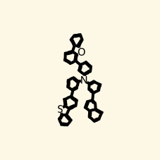 c1cc(-c2ccc3ccccc3c2)cc(N(c2cccc(-c3ccc4c(c3)sc3ccccc34)c2)c2cccc(-c3cccc4c3oc3ccccc34)c2)c1